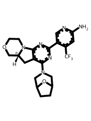 Nc1cc(C(F)(F)F)c(-c2nc(N3CC4CCC(C3)O4)c3c(n2)N2CCOC[C@H]2C3)cn1